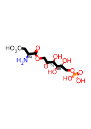 N[C@@H](CC(=O)O)C(=O)OCC(=O)[C@@H](O)[C@H](O)[C@H](O)COP(=O)(O)O